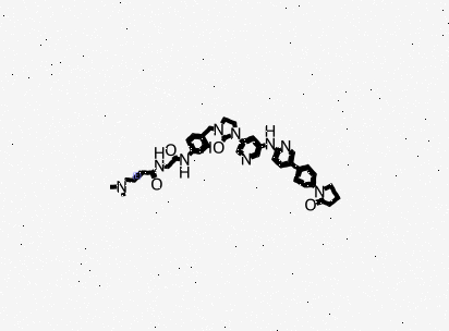 CN(C)C/C=C/C(=O)NCC(=O)Nc1ccc(CN2CCN(c3cncc(Nc4ccc(-c5ccc(N6CCCC6=O)cc5)cn4)c3)C2O)cc1